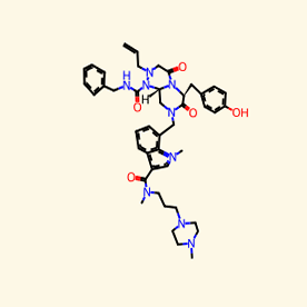 C=CCN1CC(=O)N2[C@@H](Cc3ccc(O)cc3)C(=O)N(Cc3cccc4c(C(=O)N(C)CCCN5CCN(C)CC5)cn(C)c34)C[C@@H]2N1C(=O)NCc1ccccc1